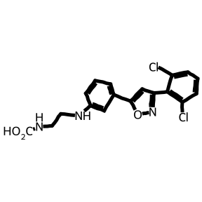 O=C(O)NCCNc1cccc(-c2cc(-c3c(Cl)cccc3Cl)no2)c1